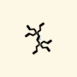 C=C[CH2][Sn](/[CH]=[CH]/[Sn]([CH2]C=C)([CH2]C=C)[CH2]C=C)([CH2]C=C)[CH2]C=C